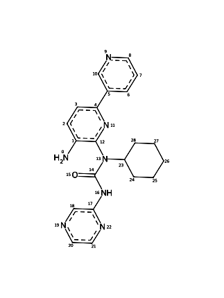 Nc1ccc(-c2cccnc2)nc1N(C(=O)Nc1cnccn1)C1CCCCC1